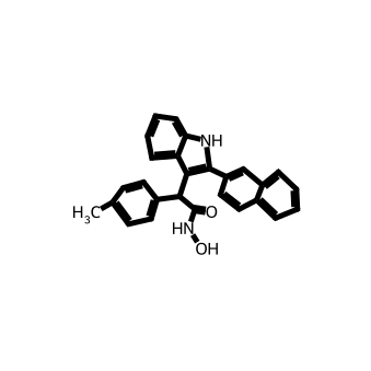 Cc1ccc(C(C(=O)NO)c2c(-c3ccc4ccccc4c3)[nH]c3ccccc23)cc1